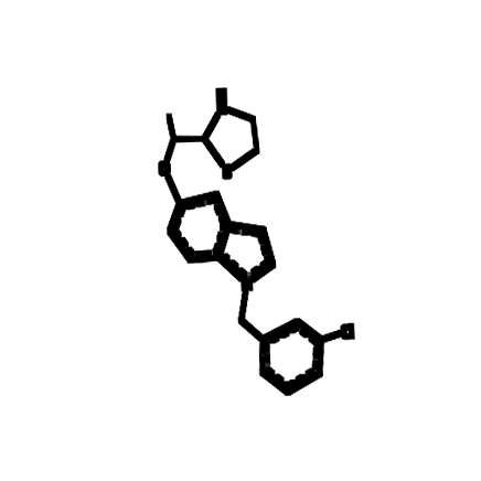 CC(Oc1ccc2c(ccn2Cc2cccc(Cl)c2)c1)C1NCCS1